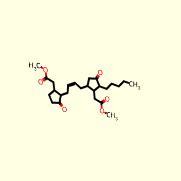 CCCCCC1C(=O)CC(C/C=C\CC2C(=O)CCC2CC(=O)OC)C1CC(=O)OC